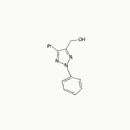 CC(C)c1nn(-c2ccccc2)nc1CO